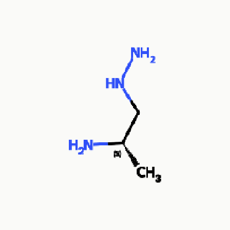 C[C@H](N)CNN